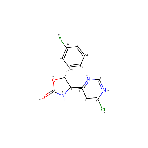 O=C1N[C@H](c2cc(Cl)ncn2)[C@@H](c2cccc(F)c2)O1